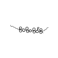 CCCCCCCCC(=O)Oc1ccc(C(=O)Oc2ccc(C(=O)Oc3ccc(C(=O)OC(C)CCCCCC)c(F)c3)cc2)cc1